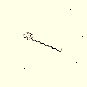 CCOC(CCCCCCCCC/C=C/CCCl)OCC